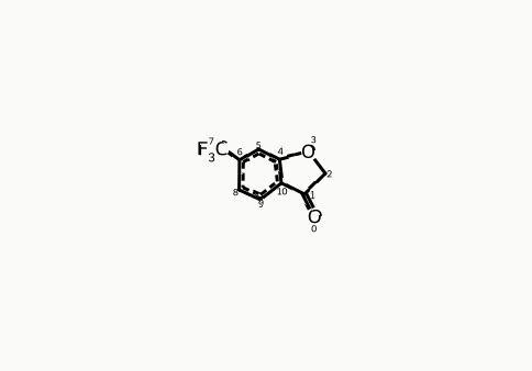 O=C1COc2cc(C(F)(F)F)ccc21